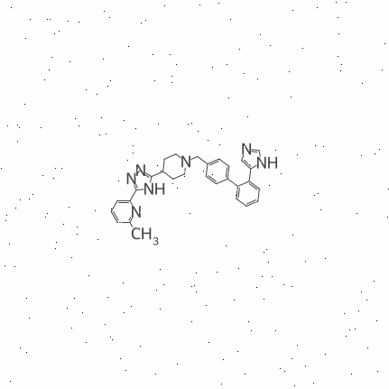 Cc1cccc(-c2nnc(C3CCN(Cc4ccc(-c5ccccc5-c5cnc[nH]5)cc4)CC3)[nH]2)n1